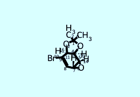 CC1(C)O[C@H]2[C@@H]3O[C@@H]3C=C(Br)[C@H]2O1